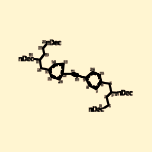 CCCCCCCCCCCCC(CCCCCCCCCC)Cc1ccc(C#Cc2ccc(CC(CCCCCCCCCC)CCCCCCCCCCCC)cc2)cc1